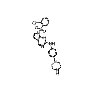 O=S(=O)(c1ccccc1Cl)n1ccc2cnc(Nc3ccc(N4CCNCC4)cc3)nc21